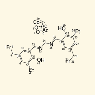 CC(=O)[O-].CC(=O)[O-].CCc1cc(CC(C)C)cc(C=NCN=Cc2cc(CC(C)C)cc(CC)c2O)c1O.[Co+2]